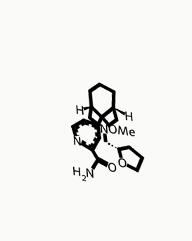 COC1(c2ccnc(C(N)=O)c2)[C@@H]2CCC[C@H]1CN(C[C@@H]1CCCO1)C2